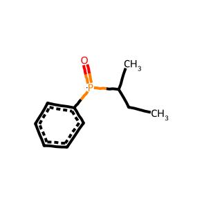 CCC(C)[P](=O)c1ccccc1